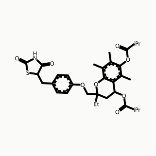 CCC1(COc2ccc(CC3SC(=O)NC3=O)cc2)CC(OC(=O)C(C)C)c2c(C)c(OC(=O)C(C)C)c(C)c(C)c2O1